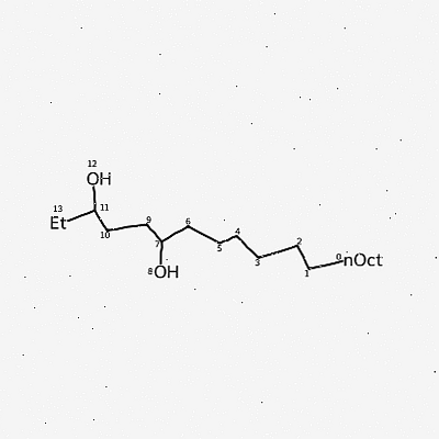 CCCCCCCCCCCCCCC(O)CCC(O)CC